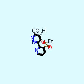 CCS(=O)(=O)c1cccnc1-c1ccc(C(=O)O)nn1